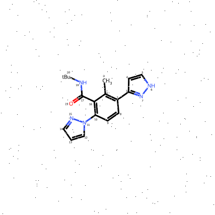 Cc1c(-c2cc[nH]n2)ccc(-n2cccn2)c1C(=O)NC(C)(C)C